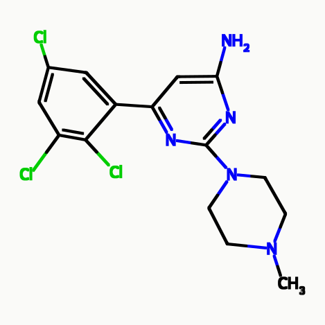 CN1CCN(c2nc(N)cc(-c3cc(Cl)cc(Cl)c3Cl)n2)CC1